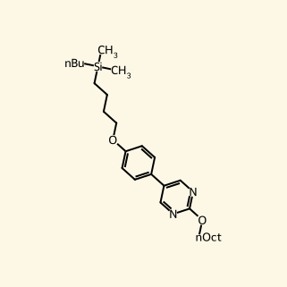 CCCCCCCCOc1ncc(-c2ccc(OCCCC[Si](C)(C)CCCC)cc2)cn1